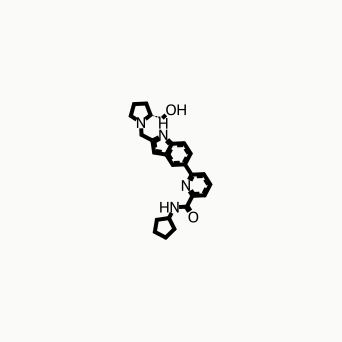 O=C(NC1CCCC1)c1cccc(-c2ccc3[nH]c(CN4CCC[C@@H]4CO)cc3c2)n1